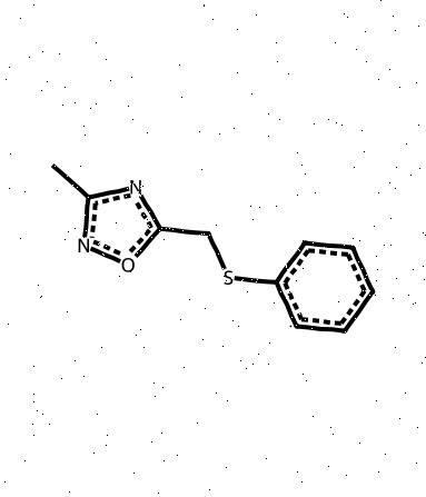 Cc1noc(CSc2[c]cccc2)n1